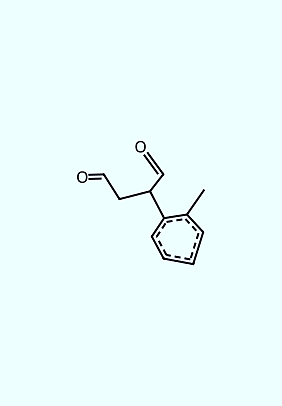 Cc1ccccc1C(C=O)CC=O